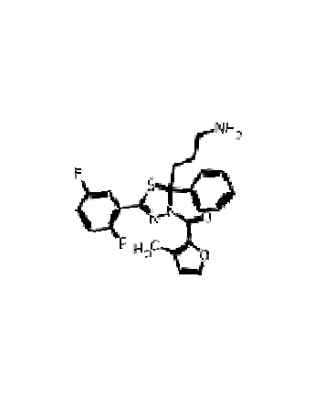 Cc1ccoc1C(=O)N1N=C(c2cc(F)ccc2F)SC1(CCCN)c1ccccc1